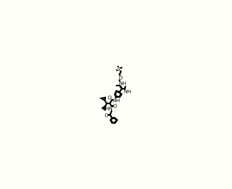 CC(=N)/C(=C(/C)NCOCCS(C)(C)C)c1ccc(NC(=O)C(C(=O)NCC(=O)c2ccccc2)C(C2CC2)C2CC2)cc1